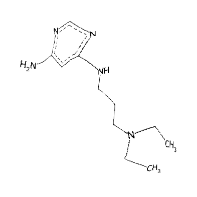 CCN(CC)CCCNc1cc(N)ncn1